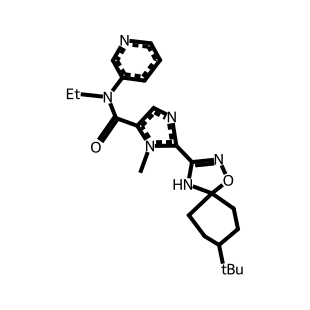 CCN(C(=O)c1cnc(C2=NOC3(CCC(C(C)(C)C)CC3)N2)n1C)c1cccnc1